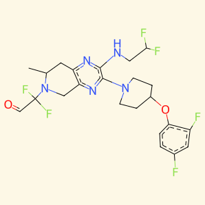 CC1Cc2nc(NCC(F)F)c(N3CCC(Oc4ccc(F)cc4F)CC3)nc2CN1C(F)(F)C=O